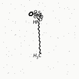 CCCCCCCCCCCCCCCCCCNC(=O)CN1C(=O)CSC1S(=O)(=O)c1ccccc1